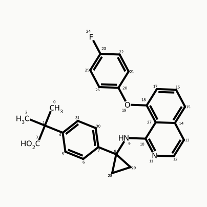 CC(C)(C(=O)O)c1ccc(C2(Nc3nccc4cccc(Oc5ccc(F)cc5)c34)CC2)cc1